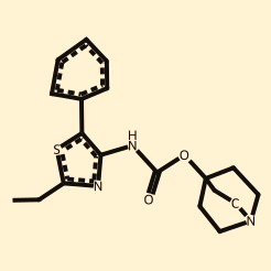 CCc1nc(NC(=O)OC23CCN(CC2)CC3)c(-c2ccccc2)s1